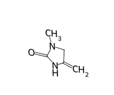 C=C1CN(C)C(=O)N1